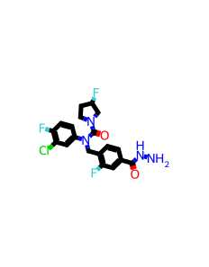 NNC(=O)c1ccc(CN(C(=O)N2CCC(F)C2)c2ccc(F)c(Cl)c2)c(F)c1